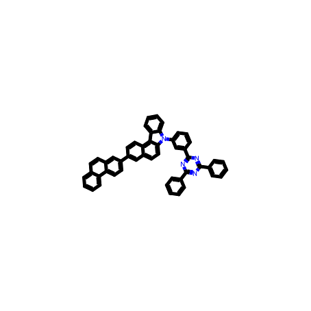 c1ccc(-c2nc(-c3ccccc3)nc(-c3cccc(-n4c5ccccc5c5c6ccc(-c7ccc8c(ccc9ccccc98)c7)cc6ccc54)c3)n2)cc1